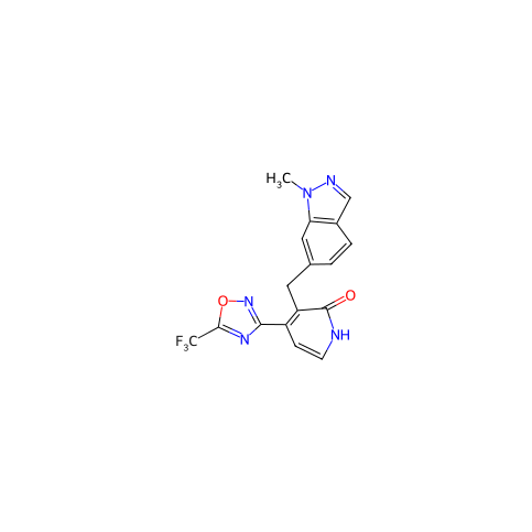 Cn1ncc2ccc(Cc3c(-c4noc(C(F)(F)F)n4)cc[nH]c3=O)cc21